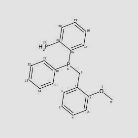 COc1ccccc1CP(c1ccccc1)c1ccccc1P